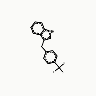 FC(F)(F)c1ccc(Cc2c[nH]c3ccccc23)cc1